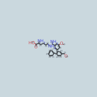 COc1cccc(CN)c1.NCCCC[C@H](N)C(=O)O.O=Cc1ccc(-c2ccccc2)cc1